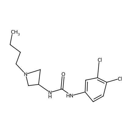 CCCCN1CC(NC(=O)Nc2ccc(Cl)c(Cl)c2)C1